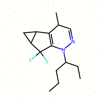 CCCC(CC)N1N=CC(C)C2=C1C(F)(F)C1CC21